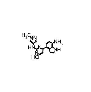 Cl.Cn1cc(Nc2nccc(-c3ccc(N)c4[nH]ccc34)n2)cn1